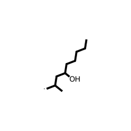 [CH2]C(C)CC(O)CCCCC